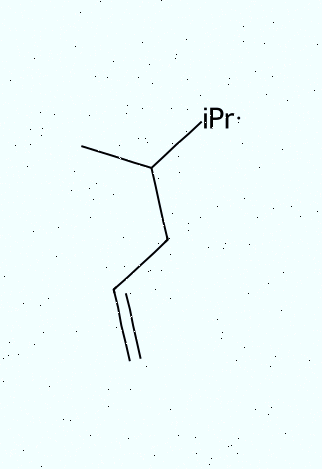 C=CCC(C)[C](C)C